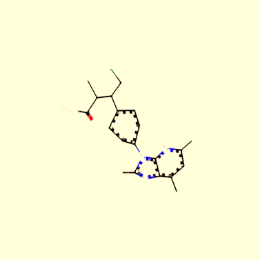 CCc1nc2c(C)cc(C)nc2n1-c1ccc(C(CCl)C(C)C(=O)OC)cc1